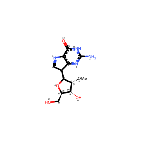 CO[C@H]1C(C2C=Nc3c2nc(N)[nH]c3=O)O[C@H](CO)[C@H]1O